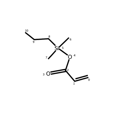 C=CC(=O)O[Si](C)(C)CCC